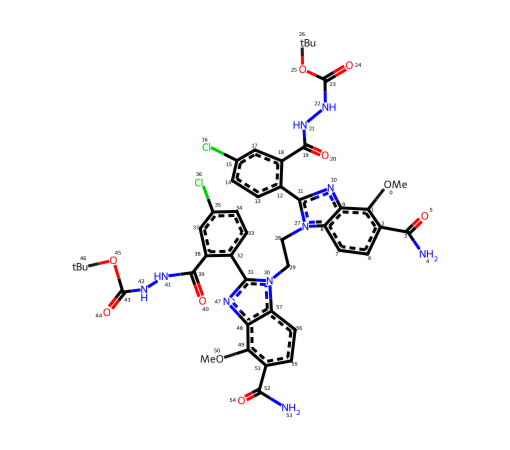 COc1c(C(N)=O)ccc2c1nc(-c1ccc(Cl)cc1C(=O)NNC(=O)OC(C)(C)C)n2CCn1c(-c2ccc(Cl)cc2C(=O)NNC(=O)OC(C)(C)C)nc2c(OC)c(C(N)=O)ccc21